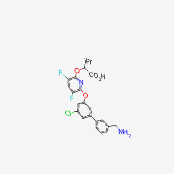 CC(C)C(Oc1nc(Oc2cc(Cl)cc(-c3cccc(CN)c3)c2)c(F)cc1F)C(=O)O